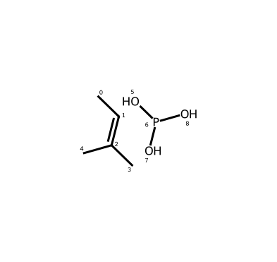 CC=C(C)C.OP(O)O